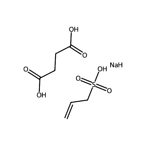 C=CCS(=O)(=O)O.O=C(O)CCC(=O)O.[NaH]